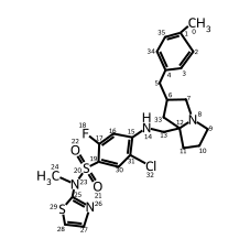 Cc1ccc(CC2CN3CCCC3(CNc3cc(F)c(S(=O)(=O)N(C)c4nccs4)cc3Cl)C2)cc1